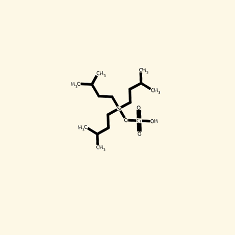 CC(C)CC[Si](CCC(C)C)(CCC(C)C)[O][Cr](=[O])(=[O])[OH]